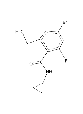 CCc1cc(Br)cc(F)c1C(=O)NC1CC1